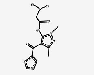 CCN(CC)CC(=O)Nc1c(C(=O)c2cccs2)c(C)nn1C